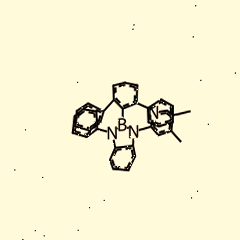 Cc1cnc(N2B(c3c(-c4ccccc4)cccc3-c3ccccc3)N(c3ccccc3)c3ccccc32)cc1C